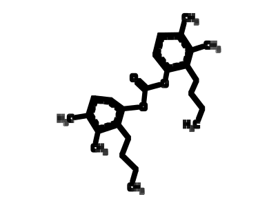 CCCCc1c(OC(=O)Oc2ccc(C)c(C)c2CCCC)ccc(C)c1C